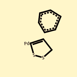 C1=CSSC1.[Pd].c1ccccc1